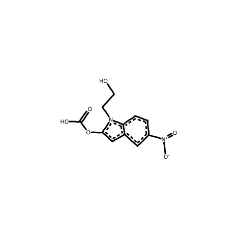 O=C(O)Oc1cc2cc([N+](=O)[O-])ccc2n1CCO